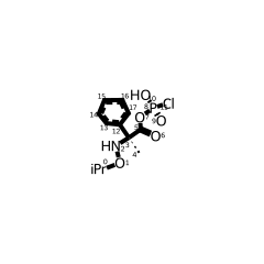 CC(C)ON[C@](C)(C(=O)OP(=O)(O)Cl)c1ccccc1